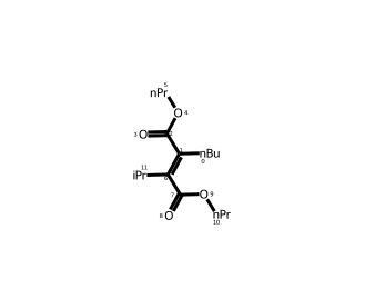 CCCCC(C(=O)OCCC)=C(C(=O)OCCC)C(C)C